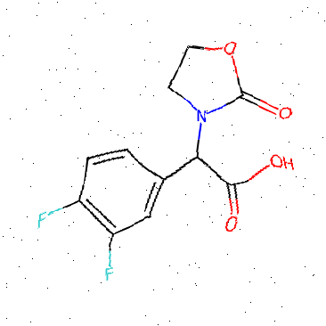 O=C(O)C(c1ccc(F)c(F)c1)N1CCOC1=O